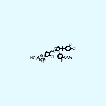 CCN(C(=O)O)S(=O)(=O)c1ccc(CSc2ncc(C(C)(C)c3ccc(Cl)c(Cl)c3)n2-c2ccc(F)c(OC)c2)c(Cl)c1